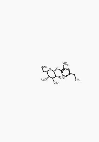 CC(=O)OCC1O[C@@H](Oc2ccc(CO)cc2[N+](=O)[O-])[C@@H](OC(C)=O)C(OC(C)=O)[C@H]1OC(C)=O